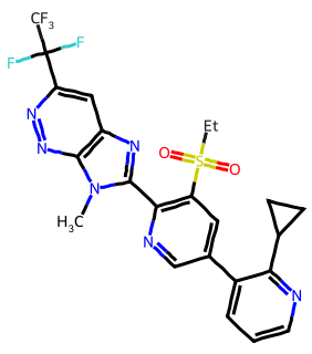 CCS(=O)(=O)c1cc(-c2cccnc2C2CC2)cnc1-c1nc2cc(C(F)(F)C(F)(F)F)nnc2n1C